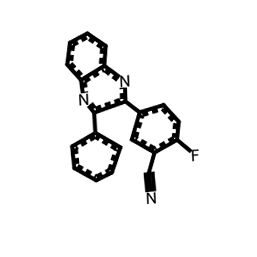 N#Cc1cc(-c2nc3ccccc3nc2-c2ccccc2)ccc1F